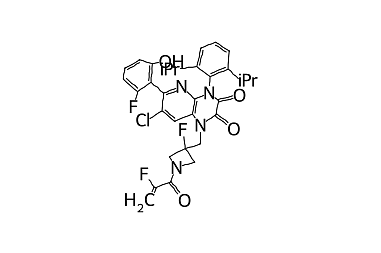 C=C(F)C(=O)N1CC(F)(Cn2c(=O)c(=O)n(-c3c(C(C)C)cccc3C(C)C)c3nc(-c4c(O)cccc4F)c(Cl)cc32)C1